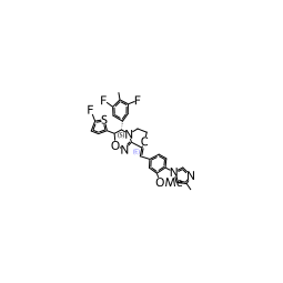 COc1cc(/C=C2\CCCN3C2=NOC(c2ccc(F)s2)[C@@H]3c2cc(F)c(C)c(F)c2)ccc1-n1cnc(C)c1